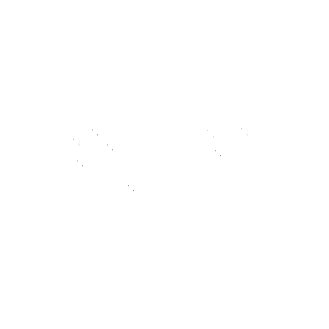 CCCCc1nc(Cl)n(Cc2ccc(-n3ccc(Cl)c3-c3nnn[nH]3)cc2)n1